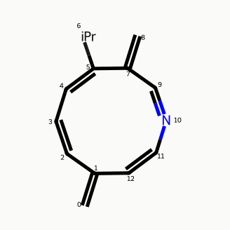 C=c1cccc(C(C)C)c(=C)cncc1